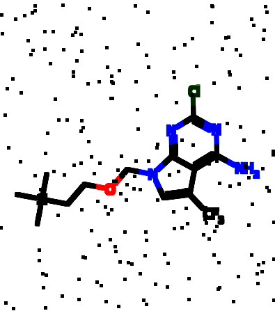 C[Si](C)(C)CCOCn1cc(C(F)(F)F)c2c(N)nc(Cl)nc21